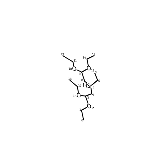 CCOC(C[SiH](CC)CC(OCC)OCC)OCC